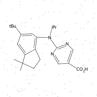 CC(C)N(c1ncc(C(=O)O)cn1)c1cc(C(C)(C)C)cc2c1CCC2(C)C